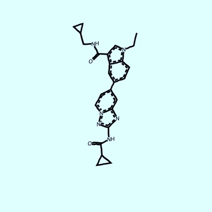 CCn1cc(C(=O)NCC2CC2)c2cc(-c3ccn4nc(NC(=O)C5CC5)nc4c3)ccc21